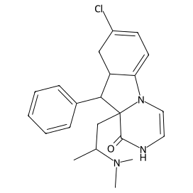 CC(CC12C(=O)NC=CN1C1=CC=C(Cl)CC1C2c1ccccc1)N(C)C